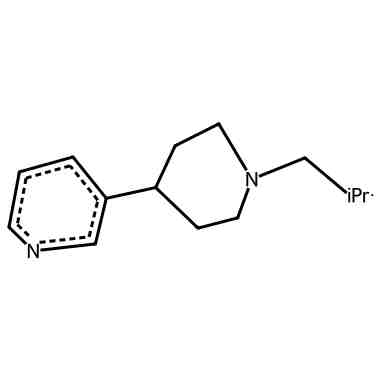 C[C](C)CN1CCC(c2cccnc2)CC1